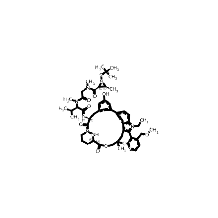 CCn1c(-c2cnccc2COC)c2c3cc(ccc31)-c1cc(O)cc(c1)C[C@H](NC(=O)C(C(C)C)N(C)C(=O)CN(C)C(=O)[C@@H]1[C@H](C)N1SC(C)(C)C)C(=O)N1CCC[C@H](N1)C(=O)OCC(C)(C)C2